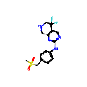 CS(=O)(=O)Cc1ccc(Nc2ncc3c(n2)CNCC3(F)F)cc1